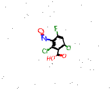 O=Nc1c(F)cc(Cl)c(C(=O)O)c1Cl